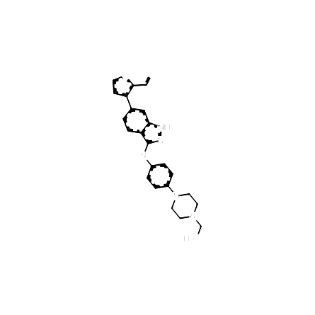 CCN1CCN(c2ccc(Nc3n[nH]c4cc(-c5ccsc5C=O)ccc34)cc2)CC1